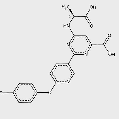 C[C@H](Nc1cc(C(=O)O)nc(-c2ccc(Oc3ccc(F)cc3)cc2)n1)C(=O)O